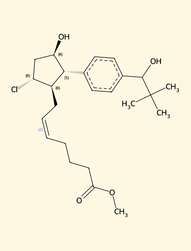 COC(=O)CCC/C=C\C[C@@H]1[C@@H](c2ccc(C(O)C(C)(C)C)cc2)[C@H](O)C[C@H]1Cl